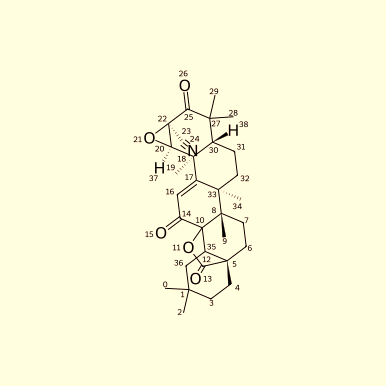 CC1(C)CC[C@@]23CC[C@]4(C)C(OC2=O)(C(=O)C=C2[C@@]5(C)[C@H]6O[C@@]6(C#N)C(=O)C(C)(C)[C@@H]5CC[C@]24C)C3C1